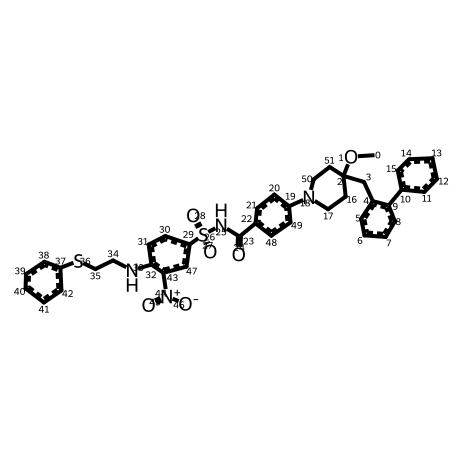 COC1(Cc2ccccc2-c2ccccc2)CCN(c2ccc(C(=O)NS(=O)(=O)c3ccc(NCCSc4ccccc4)c([N+](=O)[O-])c3)cc2)CC1